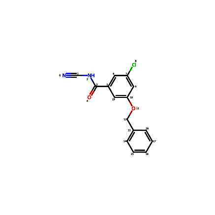 N#CNC(=O)c1cc(Cl)cc(OCc2ccccc2)c1